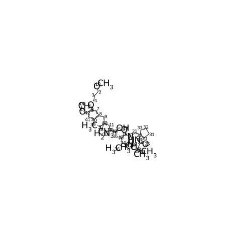 COCCCOc1cc(C[C@@H](C[C@H](N)[C@@H](O)C[C@H](C(=O)NCC2(NC(=O)C(C)(C)C)CCCC2)C(C)C)C(C)C)ccc1OC